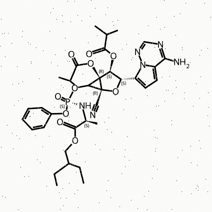 CCC(CC)COC(=O)[C@H](C)N[P@@](=O)(Oc1ccccc1)OC1[C@@]2(C#N)O[C@@H](c3ccc4c(N)ncnn34)[C@H](OC(=O)C(C)C)[C@@]12OC(=O)C(C)C